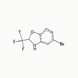 FC(F)(F)C1Nc2cc(Br)ccc2O1